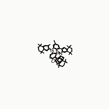 Cc1cc2c3c(c1)N(c1cc4c(cc1C)C(C)(C)CCC4(C)C)c1ccc4oc5ccccc5c4c1B3N(c1ccc3c(c1)C(C)(C)CCC3(C)C)c1cc3c(cc1-2)C(C)(C)CCC3(C)C